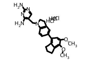 COc1cc(-c2ccc3c(c2)CCN3Cc2cnc(N)nc2N)c2c(c1OC)CCC2.Cl.Cl.Cl